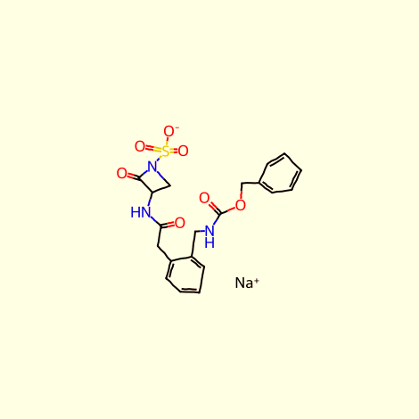 O=C(Cc1ccccc1CNC(=O)OCc1ccccc1)NC1CN(S(=O)(=O)[O-])C1=O.[Na+]